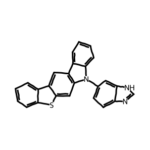 c1ccc2c(c1)sc1cc3c(cc12)c1ccccc1n3-c1ccc2nc[nH]c2c1